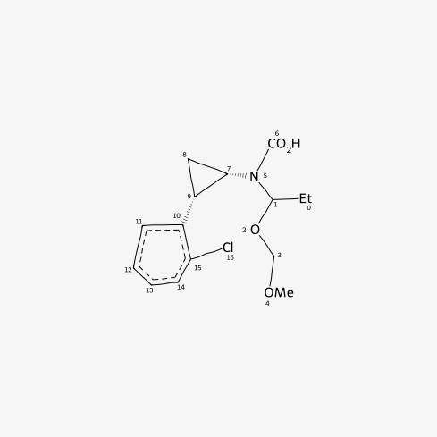 CCC(OCOC)N(C(=O)O)[C@H]1C[C@H]1c1ccccc1Cl